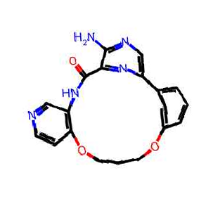 Nc1ncc2nc1C(=O)Nc1cnccc1OCCCOc1cccc-2c1